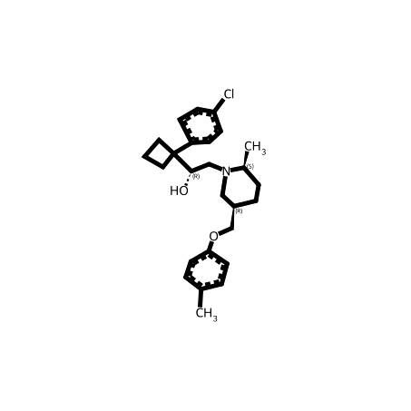 Cc1ccc(OC[C@@H]2CC[C@H](C)N(C[C@H](O)C3(c4ccc(Cl)cc4)CCC3)C2)cc1